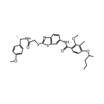 CCCC(C)Oc1ccc(C(=O)Nc2ccc3nc(SCC(=O)N[C@@H](C)c4ccc(OC)cc4)sc3c2)c(OC)c1C